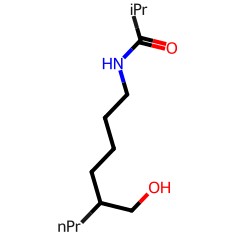 CCCC(CO)CCCCNC(=O)C(C)C